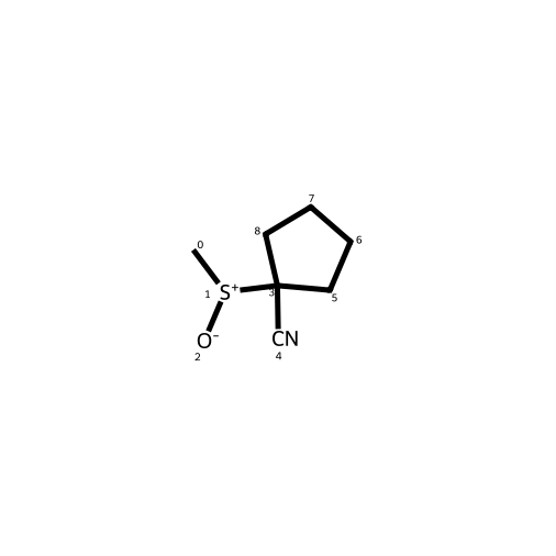 C[S+]([O-])C1(C#N)CCCC1